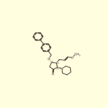 COC=CC[C@@H]1[C@@H](OCc2ccc(-c3ccccc3)cc2)CC(=O)[C@@H]1N1CCCCC1